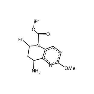 CCC1CC(N)c2nc(OC)ccc2N1C(=O)OC(C)C